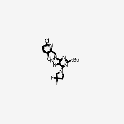 CC(C)(C)c1nc(N2CCC(F)(F)C2)c2nnn(Cc3nc(Cl)ccc3Cl)c2n1